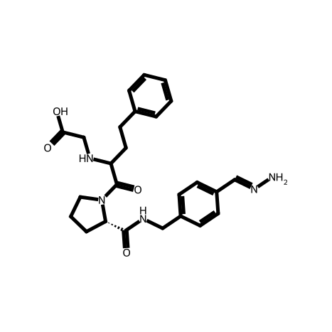 NN=Cc1ccc(CNC(=O)[C@@H]2CCCN2C(=O)C(CCc2ccccc2)NCC(=O)O)cc1